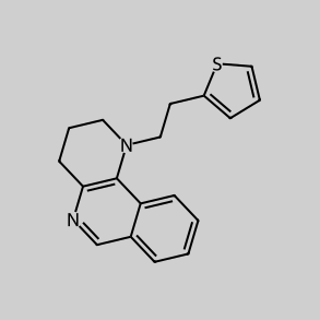 c1csc(CCN2CCCc3ncc4ccccc4c32)c1